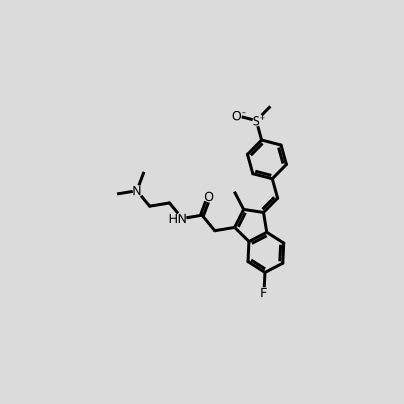 CC1=C(CC(=O)NCCN(C)C)c2cc(F)ccc2C1=Cc1ccc([S+](C)[O-])cc1